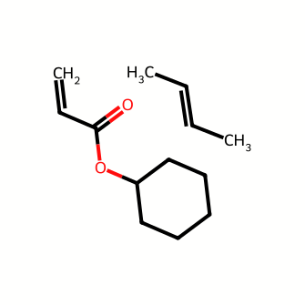 C=CC(=O)OC1CCCCC1.CC=CC